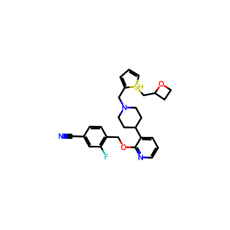 N#Cc1ccc(COc2ncccc2C2CCN(CC3=CC=C[SH]3CC3CCO3)CC2)c(F)c1